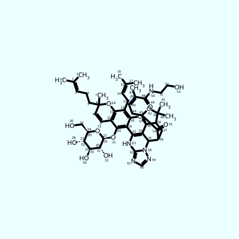 CC(C)=CCCC1(C)C=Cc2c(c(CC=C(C)C)c3c(c2O[C@@H]2O[C@H](CO)[C@@H](O)[C@H](O)[C@H]2O)C2=C4C(C5CC6C(C)(C)OC(C/C=C(/C)C(=O)NCCO)(C5=O)C46O3)n3ncnc3N2)O1